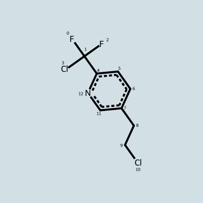 FC(F)(Cl)c1ccc(CCCl)cn1